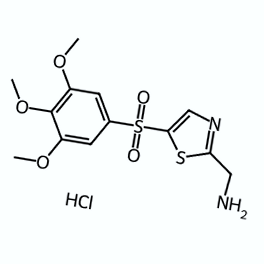 COc1cc(S(=O)(=O)c2cnc(CN)s2)cc(OC)c1OC.Cl